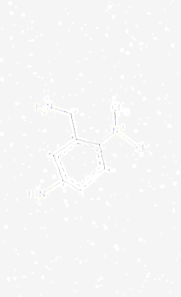 CN(C)c1ccc(N)cc1CN